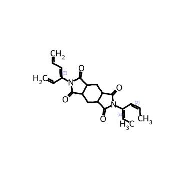 C=C/C=C(\C=C)N1C(=O)C2CC3C(=O)N(C(/C=C\C)=C/C)C(=O)C3CC2C1=O